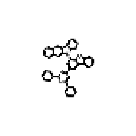 c1ccc(-c2cc(-c3cc(-n4c5ccccc5c5cc6ccccc6cc54)c4oc5ccccc5c4c3)nc(-c3ccccc3)n2)cc1